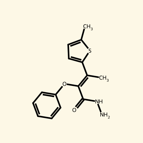 CC(=C(Oc1ccccc1)C(=O)NN)c1ccc(C)s1